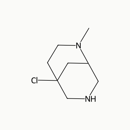 CN1CCC2(Cl)CNCC1C2